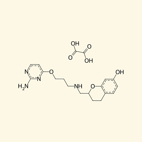 Nc1nccc(OCCCNCC2CCc3ccc(O)cc3O2)n1.O=C(O)C(=O)O